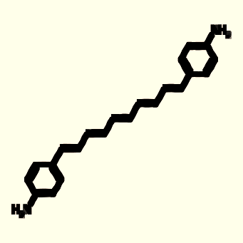 Nc1ccc(C=CC=CC=CC=CC=Cc2ccc(N)cc2)cc1